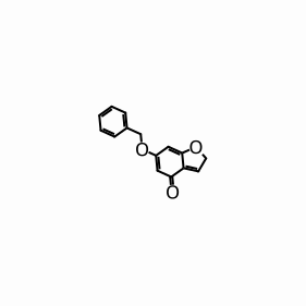 O=C1C=C(OCc2ccccc2)C=C2OCC=C12